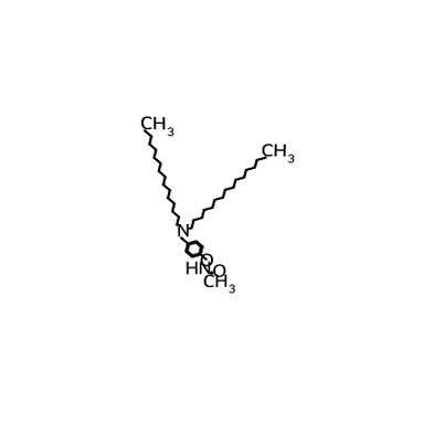 CCCCCCCCCCCCCCCCN(CCCCCCCCCCCCCCCC)Cc1ccc(ONC(C)=O)cc1